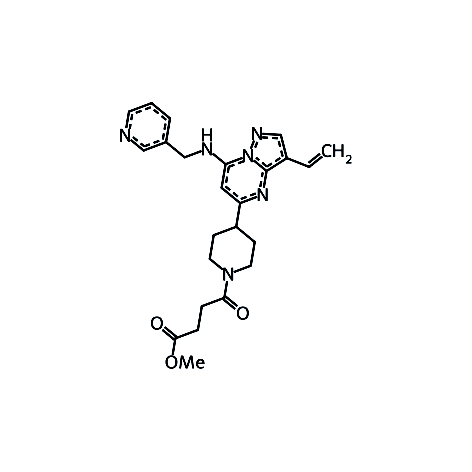 C=Cc1cnn2c(NCc3cccnc3)cc(C3CCN(C(=O)CCC(=O)OC)CC3)nc12